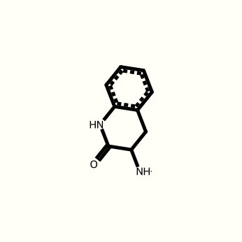 [NH]C1Cc2ccccc2NC1=O